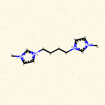 Cn1cc[n+](CCCC[n+]2ccn(C)c2)c1